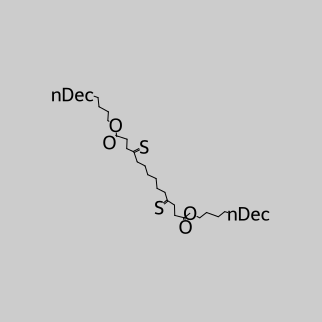 CCCCCCCCCCCCCCOC(=O)CCC(=S)CCCCCCC(=S)CCC(=O)OCCCCCCCCCCCCCC